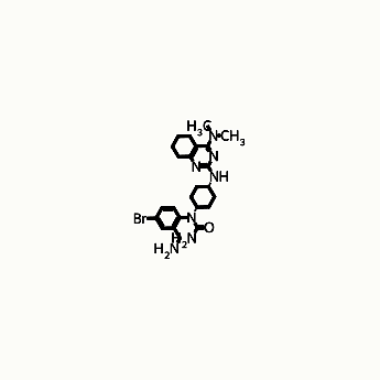 CN(C)c1nc(N[C@H]2CC[C@@H](N(C(N)=O)c3ccc(Br)cc3CN)CC2)nc2c1CCCC2